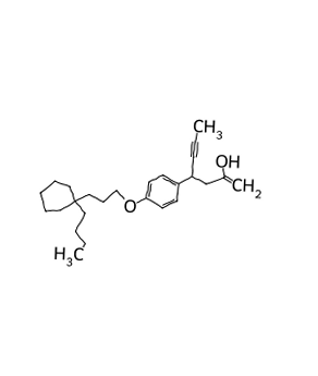 C=C(O)CC(C#CC)c1ccc(OCCCC2(CCCC)CCCCC2)cc1